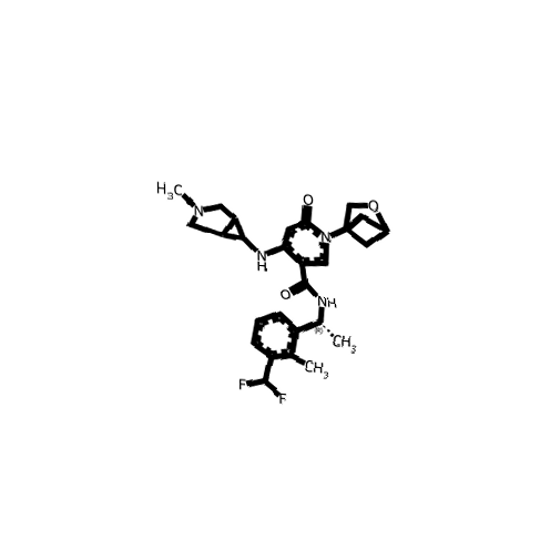 Cc1c(C(F)F)cccc1[C@@H](C)NC(=O)c1cn(C23COC(C2)C3)c(=O)cc1NC1C2CN(C)CC21